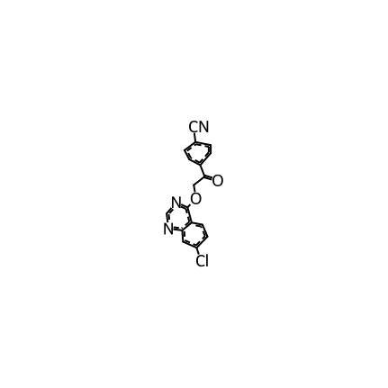 N#Cc1ccc(C(=O)COc2ncnc3cc(Cl)ccc23)cc1